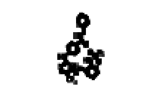 CCS(=O)(=O)Nc1ncccc1CNc1nc(Nc2ccc(C(=O)NCc3ccccn3)cc2)ncc1C(F)(F)F